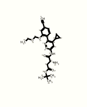 C#Cc1ccc(-c2nnc(NC(=O)[C@H](N)CC(=O)OC(C)(C)C)cc2C2CC2)c(OCOCC)c1